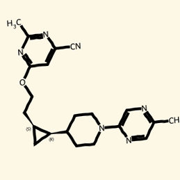 Cc1cnc(N2CCC([C@H]3C[C@H]3CCOc3cc(C#N)nc(C)n3)CC2)cn1